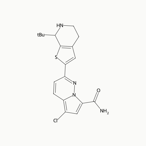 CC(C)(C)C1NCCc2cc(-c3ccc4c(Cl)cc(C(N)=O)n4n3)sc21